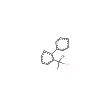 CC(C)(O)c1ccccc1-c1ccccc1